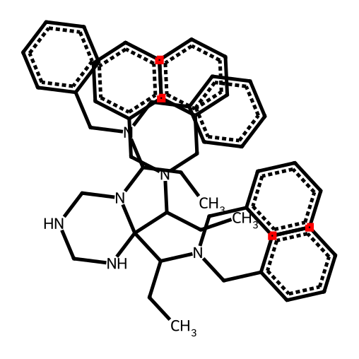 CCC(N(Cc1ccccc1)Cc1ccccc1)N1CNCNC1(C(CC)N(Cc1ccccc1)Cc1ccccc1)C(CC)N(Cc1ccccc1)Cc1ccccc1